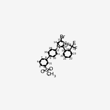 CS(=O)(=O)c1cccc(-c2ccc(-n3cc(Br)nc3-c3ccccc3C(F)(F)F)cc2)c1